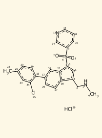 CNCc1cn(S(=O)(=O)c2cccnc2)c2cc(-c3ccc(C)cc3Cl)ccc12.Cl